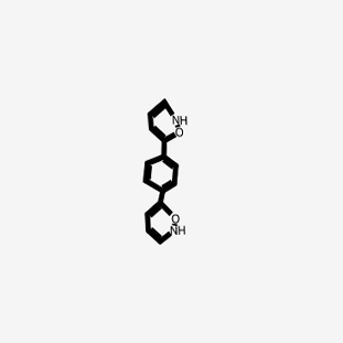 C1=CNOC(c2ccc(C3=CC=CNO3)cc2)=C1